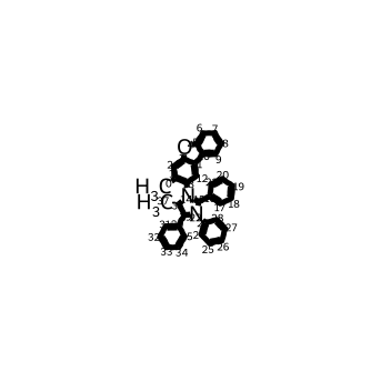 Cc1cc2oc3ccccc3c2cc1N1C(c2ccccc2)N(c2ccccc2)C(c2ccccc2)[C@@H]1C